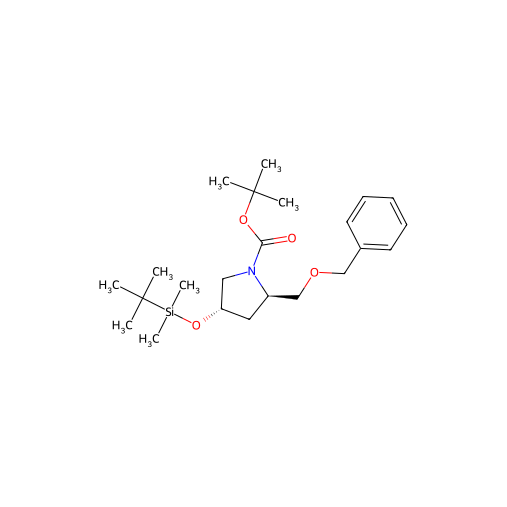 CC(C)(C)OC(=O)N1C[C@@H](O[Si](C)(C)C(C)(C)C)C[C@@H]1COCc1ccccc1